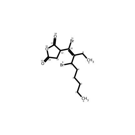 CCCCCC(Br)C(CC)=C(Br)C1CC(=O)OC1=O